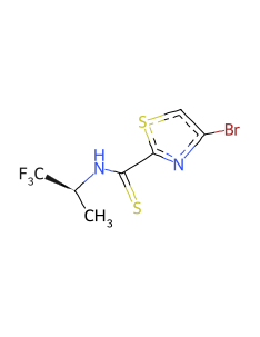 C[C@H](NC(=S)c1nc(Br)cs1)C(F)(F)F